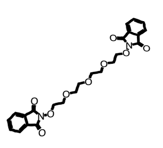 O=C1c2ccccc2C(=O)N1OCCOCCOCCOCCON1C(=O)c2ccccc2C1=O